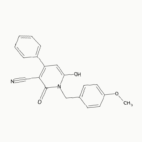 COc1ccc(Cn2c(O)cc(-c3ccccc3)c(C#N)c2=O)cc1